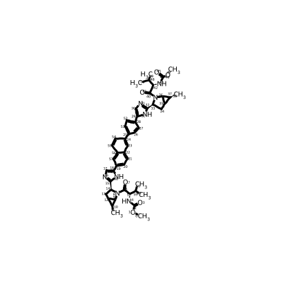 COC(=O)N[C@H](C(=O)N1C2C(C)C2C[C@H]1c1ncc(-c2ccc3cc(-c4ccc(-c5cnc([C@@H]6CC7C([C@@H]7C)N6C(=O)[C@@H](NC(=O)OC)C(C)C)[nH]5)cc4)ccc3c2)[nH]1)C(C)C